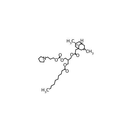 CCCCCCCCCC(=O)OCC(COC(=O)CC12C[C@H](C)C[C@H](C[C@H](C)C1)C2)COC(=O)OCCCN1CCCC1